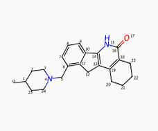 CC1CCN(Cc2cccc3c2Cc2c-3[nH]c(=O)c3c2CCCC3)CC1